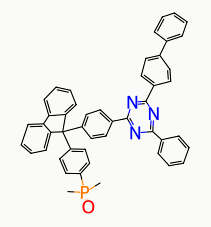 CP(C)(=O)c1ccc(C2(c3ccc(-c4nc(-c5ccccc5)nc(-c5ccc(-c6ccccc6)cc5)n4)cc3)c3ccccc3-c3ccccc32)cc1